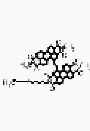 CCCCCCCCCCCN1C(=O)c2ccc3c4ccc5c6c(ccc(c7c(/C=C/c8cc9c%10c(ccc%11c%12ccc%13c%14c(ccc(c8c%10%11)c%14%12)C(=O)N(C)C%13=O)C(=O)N(C)C9=O)cc(c2c37)C1=O)c64)C(=O)N(C)C5=O